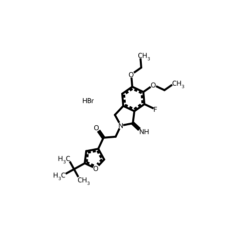 Br.CCOc1cc2c(c(F)c1OCC)C(=N)N(CC(=O)c1coc(C(C)(C)C)c1)C2